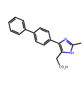 Cc1nc(-c2ccc(-c3ccccc3)cc2)c(CC(=O)O)[nH]1